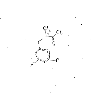 CC(=O)[C@@H](C)Cc1cc(F)cc(F)c1